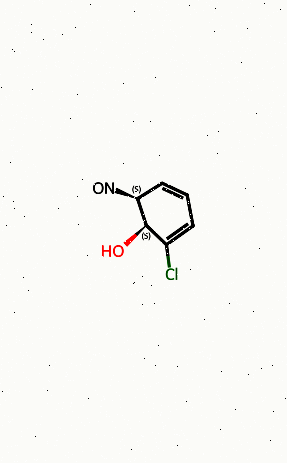 O=N[C@H]1C=CC=C(Cl)[C@H]1O